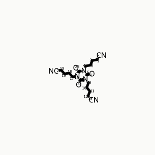 N#CCCCCn1c(=O)n(CCCCC#N)c(=O)n(CCCCC#N)c1=O